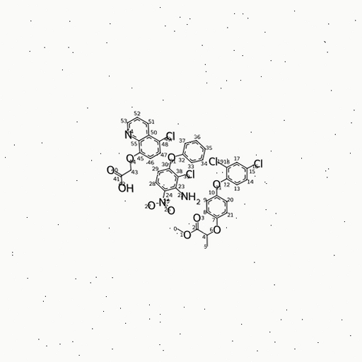 COC(=O)C(C)Oc1ccc(Oc2ccc(Cl)cc2Cl)cc1.Nc1c([N+](=O)[O-])ccc(Oc2ccccc2)c1Cl.O=C(O)COc1ccc(Cl)c2cccnc12